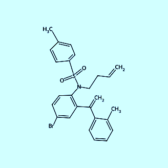 C=CCCN(c1ccc(Br)cc1C(=C)c1ccccc1C)S(=O)(=O)c1ccc(C)cc1